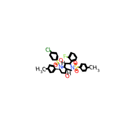 Cc1ccc([C@@H]2CC(=O)[C@@H]3CN(S(=O)(=O)c4ccc(C)cc4)C(c4ccccc4F)C[C@@H]3N2S(=O)(=O)c2ccc(Cl)cc2)cc1